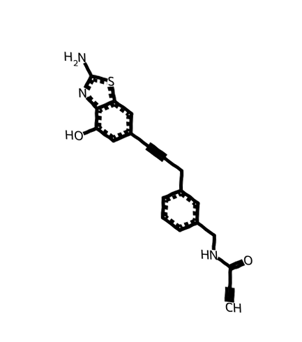 C#CC(=O)NCc1cccc(CC#Cc2cc(O)c3nc(N)sc3c2)c1